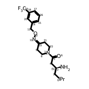 CC(C)C[C@H](N)CC(=O)N1CCC(=NOCc2cccc(C(F)(F)F)c2)CC1